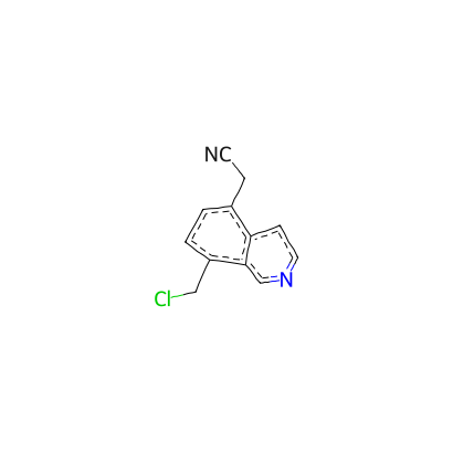 N#CCc1ccc(CCl)c2cnccc12